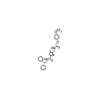 O=C(COc1ccc(OC(F)(F)F)cc1)NCc1nc(C(=O)NCC(c2ccccc2)c2ccccc2)cs1